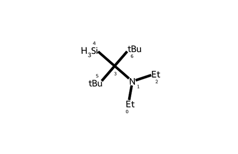 CCN(CC)C([SiH3])(C(C)(C)C)C(C)(C)C